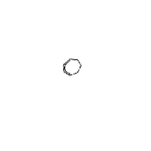 C1=C=CCCCC=1